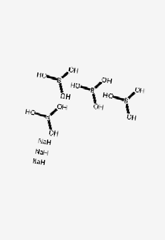 OB(O)O.OB(O)O.OB(O)O.OB(O)O.[NaH].[NaH].[NaH]